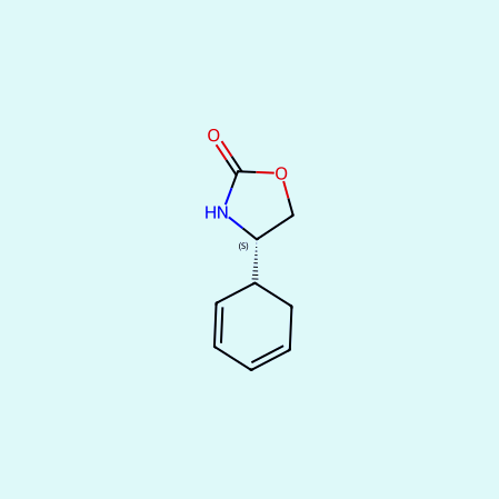 O=C1N[C@@H](C2C=CC=CC2)CO1